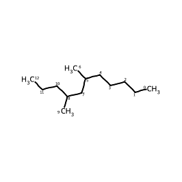 CCCCCC(C)[CH]C(C)CCC